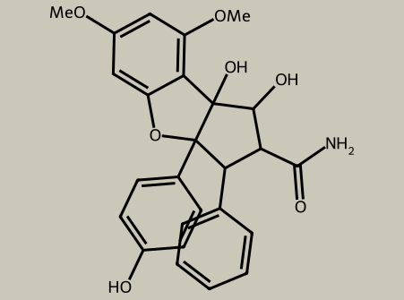 COc1cc(OC)c2c(c1)OC1(c3ccc(O)cc3)C(c3ccccc3)C(C(N)=O)C(O)C21O